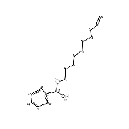 C=CCCCCCCCCOC(O)c1ccccc1